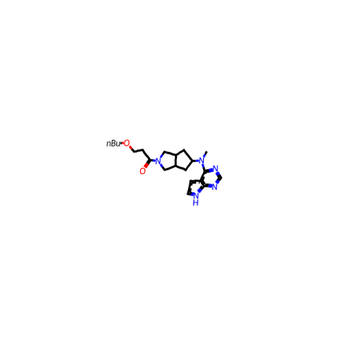 CCCCOCCC(=O)N1CC2CC(N(C)c3ncnc4[nH]ccc34)CC2C1